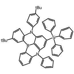 CC(C)(C)c1ccc(N2c3ccc(C(C)(C)C)cc3B3c4ccccc4N(c4ccccc4)c4cc([Si](c5ccccc5)(c5ccccc5)c5ccccc5)cc2c43)cc1